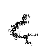 NCCCc1cc(CCCNC(=O)N2CCN(C(=O)c3ccc(NC(=O)c4ncc(Cc5c(C(F)(F)F)n[nH]c5-c5ccc(N)cn5)[nH]4)cc3Cl)CC2)cc[n+]1CC(=O)O